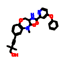 CN1C(=O)C(NC(=O)c2cc(Oc3ccccc3)ccn2)COc2ccc(C#CC(C)(C)CO)cc21